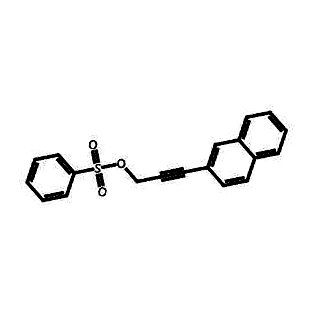 O=S(=O)(OCC#Cc1ccc2ccccc2c1)c1ccccc1